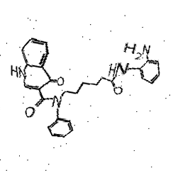 Nc1ccccc1NC(=O)CCCCCN(C(=O)c1c[nH]c2ccccc2c1=O)c1ccccc1